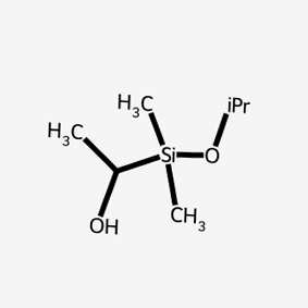 CC(C)O[Si](C)(C)C(C)O